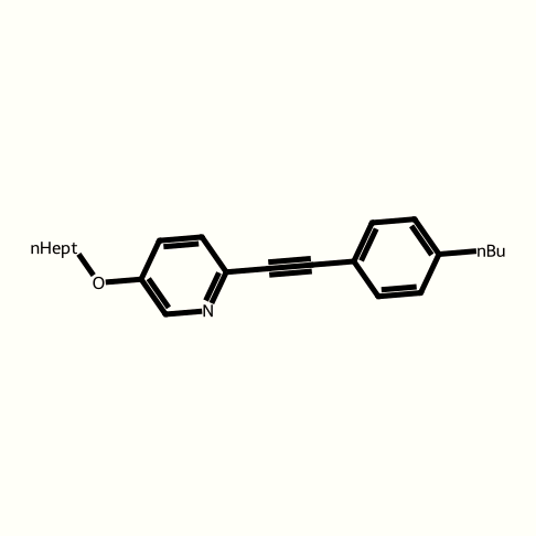 CCCCCCCOc1ccc(C#Cc2ccc(CCCC)cc2)nc1